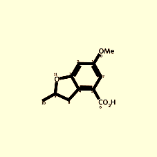 COc1cc2c(c(C(=O)O)c1)CC(C)O2